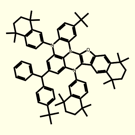 CC(C)(C)c1ccc(C(c2ccccc2)c2cc3c4c(c2)N(c2ccc5c(c2)C(C)(C)CCC5(C)C)c2c(oc5cc6c(cc25)C(C)(C)CCC6(C)C)B4c2cc(C(C)(C)C)ccc2N3c2ccc3c(c2)C(C)(C)CCC3(C)C)cc1